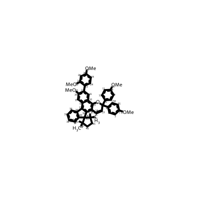 COc1ccc(C2(c3ccc(OC)cc3)C=Cc3c4c(c5cc(OC)c(-c6ccc(OC)cc6OC)cc5c3O2)-c2ccccc2C42C(C)(C)CCC2(C)C)cc1